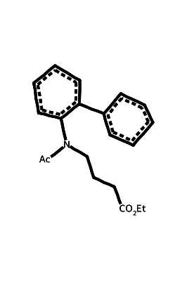 CCOC(=O)CCCN(C(C)=O)c1ccccc1-c1ccccc1